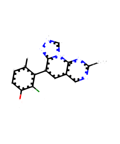 CNc1ncc2cc(-c3c(C)ccc(O)c3Cl)c3nncn3c2n1